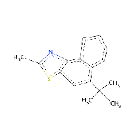 Cc1nc2c(cc(C(C)(C)C)c3ccccc32)s1